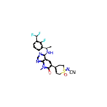 C[C@@H](Nc1ncnc2c1cc(C1=CCS(=O)(=NC#N)CC1)c(=O)n2C)c1cccc(C(F)F)c1F